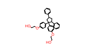 OCCOc1ccc(C2(c3ccc(OCCO)cc3)CC(c3ccccc3)CC2c2ccccc2)cc1